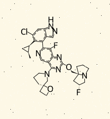 C[C@H]1C[C@H]1c1c(Cl)cc2[nH]ncc2c1-c1ncc2c(N3CCC[C@]4(CCO4)C3)nc(OC[C@@]34CCCN3C[C@H](F)C4)nc2c1F